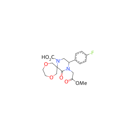 COC(=O)CN1C(=O)C2(COCCOC2)N(C(=O)O)CC1c1ccc(F)cc1